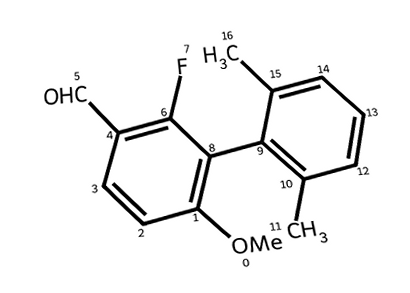 COc1ccc(C=O)c(F)c1-c1c(C)cccc1C